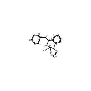 O=CC1c2ccccc2C(Cc2ccccc2)CC1(F)F